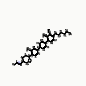 C/C=C/C1CCC(c2ccc(-c3ccc(-c4ccc(CCCCCC)c(F)c4F)cc3)cc2F)OC1